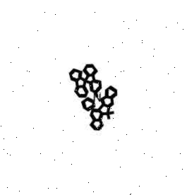 CC1(C)c2cc3ccccc3c(N(c3ccccc3)c3ccc4c(c3)C3(c5ccccc5-c5ccccc53)c3ccccc3-4)c2-c2ccc3ccccc3c21